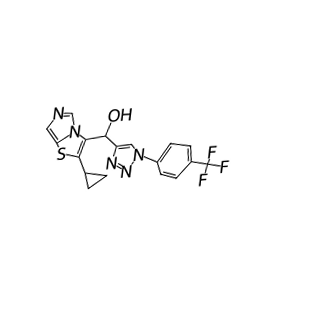 OC(c1cn(-c2ccc(C(F)(F)F)cc2)nn1)c1c(C2CC2)sc2cncn12